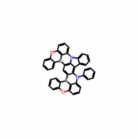 c1ccc(N2c3cccc4c3B(c3ccccc3O4)c3cc4c5c(c32)c2ccccc2n5-c2cccc3c2B4c2ccccc2O3)cc1